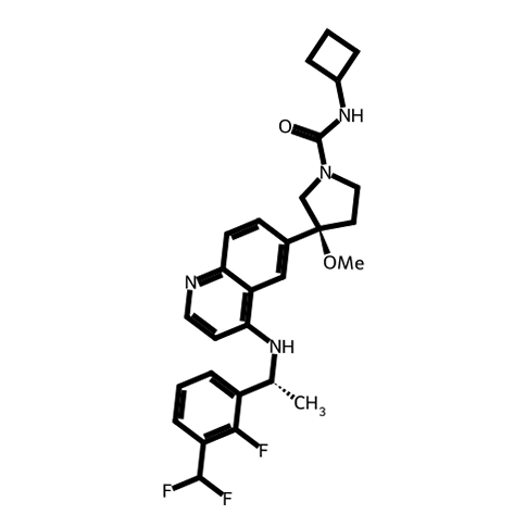 CO[C@]1(c2ccc3nccc(N[C@H](C)c4cccc(C(F)F)c4F)c3c2)CCN(C(=O)NC2CCC2)C1